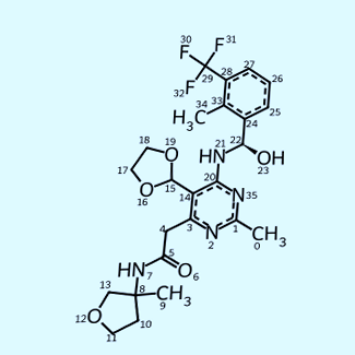 Cc1nc(CC(=O)NC2(C)CCOC2)c(C2OCCO2)c(N[C@H](O)c2cccc(C(F)(F)F)c2C)n1